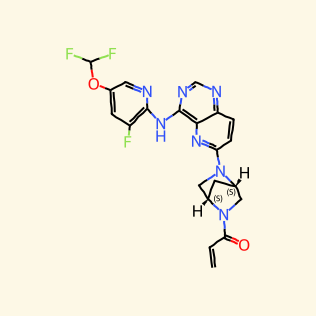 C=CC(=O)N1C[C@@H]2C[C@H]1CN2c1ccc2ncnc(Nc3ncc(OC(F)F)cc3F)c2n1